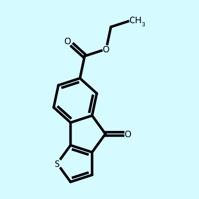 CCOC(=O)c1ccc2c(c1)C(=O)c1ccsc1-2